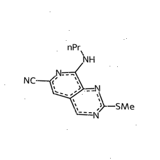 CCCNc1nc(C#N)cc2cnc(SC)nc12